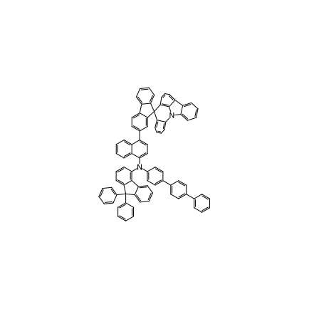 c1ccc(-c2ccc(-c3ccc(N(c4cccc5c4-c4ccccc4C5(c4ccccc4)c4ccccc4)c4ccc(-c5ccc6c(c5)C5(c7ccccc7-6)c6ccccc6-n6c7ccccc7c7cccc5c76)c5ccccc45)cc3)cc2)cc1